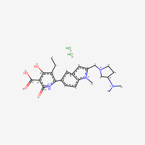 CCc1c(-c2ccc3c(c2)cc(CN2CCC(N(C)C)C2)n3C)[nH]c(=O)c(C(=O)O)c1O.Cl.Cl